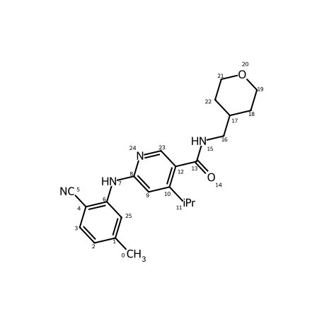 Cc1ccc(C#N)c(Nc2cc(C(C)C)c(C(=O)NCC3CCOCC3)cn2)c1